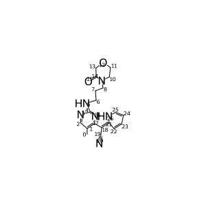 Cc1cnc(NCCCN2CCOCC2=O)nc1/C(C#N)=C1/C=CC=CN1